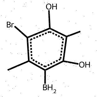 Bc1c(C)c(Br)c(O)c(C)c1O